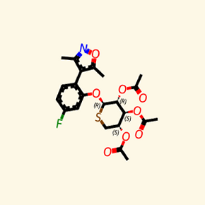 CC(=O)O[C@@H]1[C@@H](OC(C)=O)[C@H](OC(C)=O)CS[C@H]1Oc1cc(F)ccc1-c1c(C)noc1C